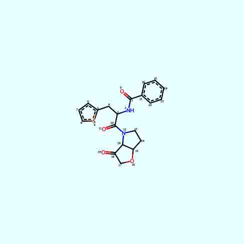 O=C(NC(Cc1cccs1)C(=O)N1CCC2OCC(=O)C21)c1ccccc1